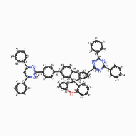 c1ccc(-c2cc(-c3ccccc3)nc(-c3ccc(-c4ccc5c(c4)C4(c6ccccc6Oc6ccccc64)c4ccc(-c6nc(-c7ccccc7)nc(-c7ccccc7)n6)cc4-5)cc3)n2)cc1